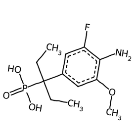 CCC(CC)(c1cc(F)c(N)c(OC)c1)P(=O)(O)O